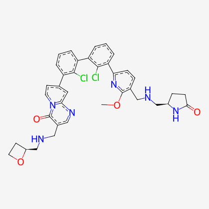 COc1nc(-c2cccc(-c3cccc(-c4ccn5c(=O)c(CNC[C@@H]6CCO6)cnc5c4)c3Cl)c2Cl)ccc1CNC[C@H]1CCC(=O)N1